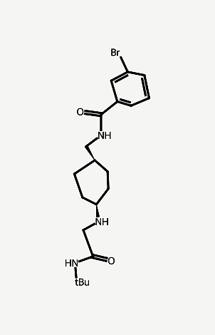 CC(C)(C)NC(=O)CN[C@H]1CC[C@@H](CNC(=O)c2cccc(Br)c2)CC1